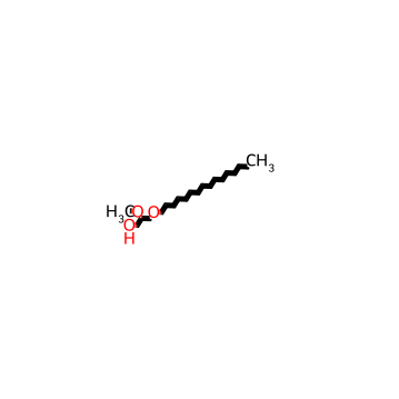 CCCCCCCCCCCCCCCCOCC(CO)OC